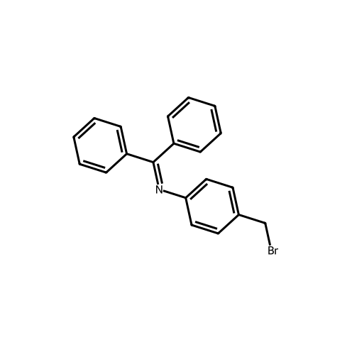 BrCc1ccc(N=C(c2ccccc2)c2ccccc2)cc1